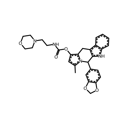 Cc1cc(OC(=O)NCCN2CCOCC2)c2n1C(c1ccc3c(c1)OCO3)c1[nH]c3ccccc3c1C2